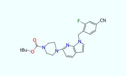 CC(C)(C)OC(=O)N1CCN(c2ccc3ccn(Cc4ccc(C#N)cc4F)c3n2)CC1